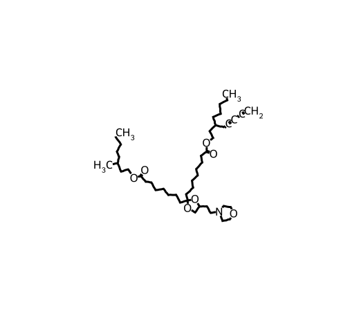 C=C=C=C=CC(CCCCC)CCOC(=O)CCCCCCCC1(CCCCCCCC(=O)OCCC(C)CCCCC)OCC(CCN2CCOCC2)O1